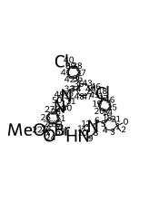 CC1(C)CCC(CN2CCNCC2)=C(c2ccc(Cl)cc2)C1.COC(=O)c1ccc(N2CCN(CC3=C(c4ccc(Cl)cc4)CC(C)(C)CC3)CC2)cc1Br